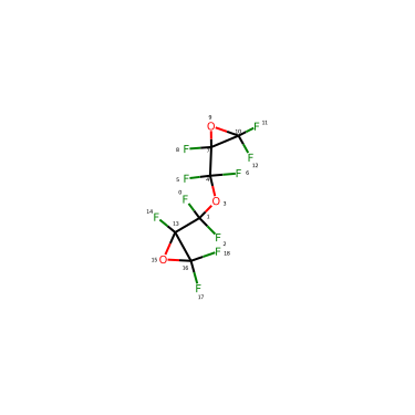 FC(F)(OC(F)(F)C1(F)OC1(F)F)C1(F)OC1(F)F